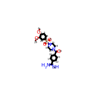 COc1ccc(S(=O)(=O)N2CCN(C(=O)c3ccc(C(=N)N)cc3)CC2)cc1OC